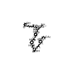 CC(=O)O[C@@H](C)/C=C\C(=O)N[C@@H]1C[C@H](C)[C@H](C/C=C(C)/C=C/[C@H]2O[C@H](CC(=O)N[C@H]3CC[C@H](NC(=O)OCc4ccc(NC(=O)[C@H](CCCNC(N)=O)NC(=O)[C@@H](NC(=O)CCCCCN5C(=O)C=CC5O)C(C)C)cc4)CC3)C[C@@]3(CO3)[C@@H]2O)O[C@@H]1C